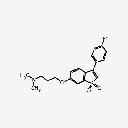 CN(C)CCCOc1ccc2c(c1)S(=O)(=O)C=C2c1ccc(Br)cc1